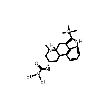 CCN(CC)C(=O)N[C@H]1CC2c3cccc4[nH]c([Si](C)(C)C)c(c34)C[C@H]2N(C)C1